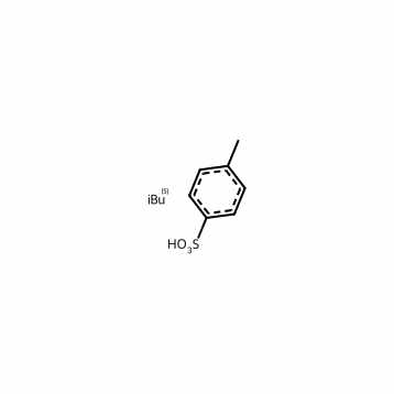 CC[C@H](C)c1cc(C)ccc1S(=O)(=O)O